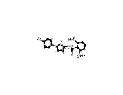 COc1cccc(OC)c1C(=O)Nc1nnc(-c2ccc(O)cc2)s1